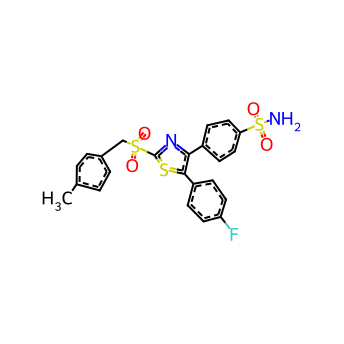 Cc1ccc(CS(=O)(=O)c2nc(-c3ccc(S(N)(=O)=O)cc3)c(-c3ccc(F)cc3)s2)cc1